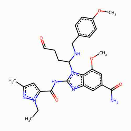 CCn1nc(C)cc1C(=O)Nc1nc2cc(C(N)=O)cc(OC)c2n1C(CCC=O)NCc1ccc(OC)cc1